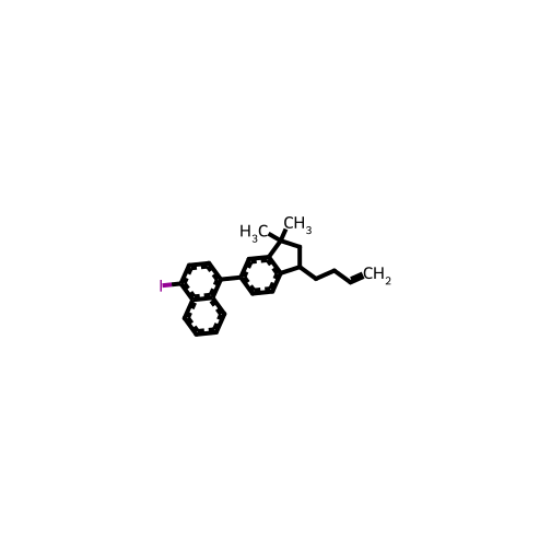 C=CCCC1CC(C)(C)c2cc(-c3ccc(I)c4ccccc34)ccc21